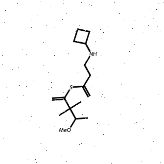 C=C(CCNC1CCC1)SC(=C)C(C)(C)C(C)OC